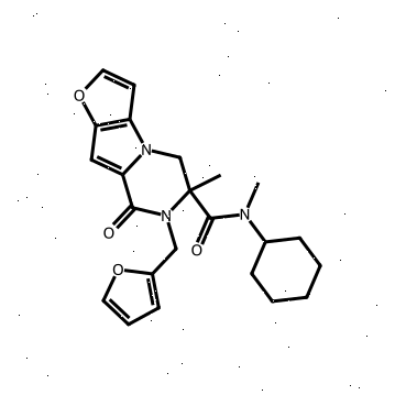 CN(C(=O)C1(C)Cn2c(cc3occc32)C(=O)N1Cc1ccco1)C1CCCCC1